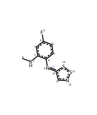 CBc1cc(F)ccc1/N=c1/cnss1